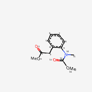 COC(=O)Cc1ccccc1N(C)C(=O)OC